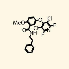 COc1ccc(Oc2c(Cl)c(F)nc(F)c2Cl)cc1C(=O)NCCc1ccccc1